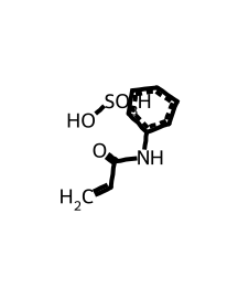 C=CC(=O)Nc1ccccc1.O=S(=O)(O)O